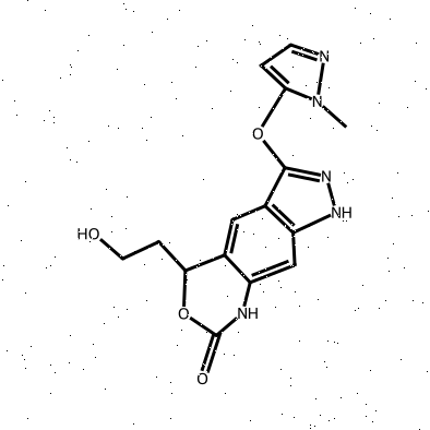 Cn1nccc1Oc1n[nH]c2cc3c(cc12)C(CCO)OC(=O)N3